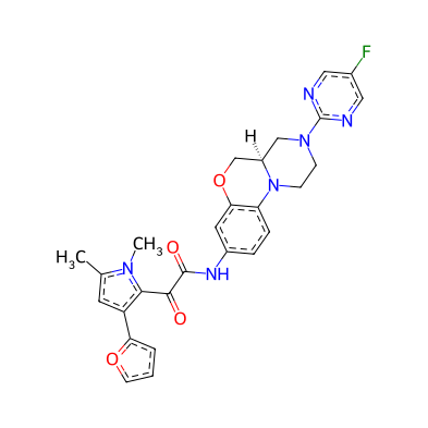 Cc1cc(-c2ccco2)c(C(=O)C(=O)Nc2ccc3c(c2)OC[C@H]2CN(c4ncc(F)cn4)CCN32)n1C